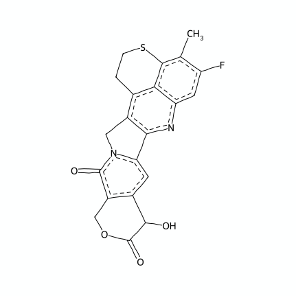 Cc1c(F)cc2nc3c(c4c2c1SCC4)Cn1c-3cc2c(c1=O)COC(=O)C2O